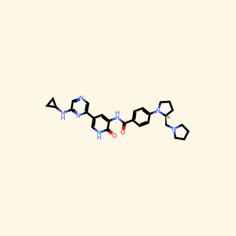 O=C(Nc1cc(-c2cncc(NC3CC3)n2)c[nH]c1=O)c1ccc(N2CCC[C@H]2CN2CCCC2)cc1